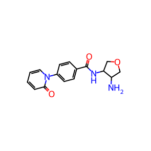 NC1COCC1NC(=O)c1ccc(-n2ccccc2=O)cc1